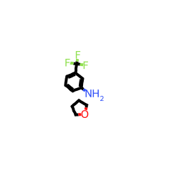 C1CCOC1.Nc1cccc(C(F)(F)F)c1